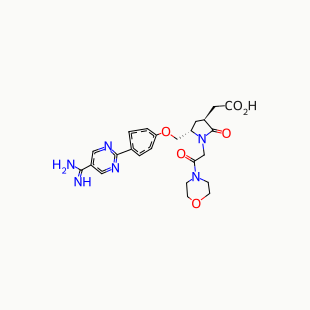 N=C(N)c1cnc(-c2ccc(OC[C@@H]3C[C@@H](CC(=O)O)C(=O)N3CC(=O)N3CCOCC3)cc2)nc1